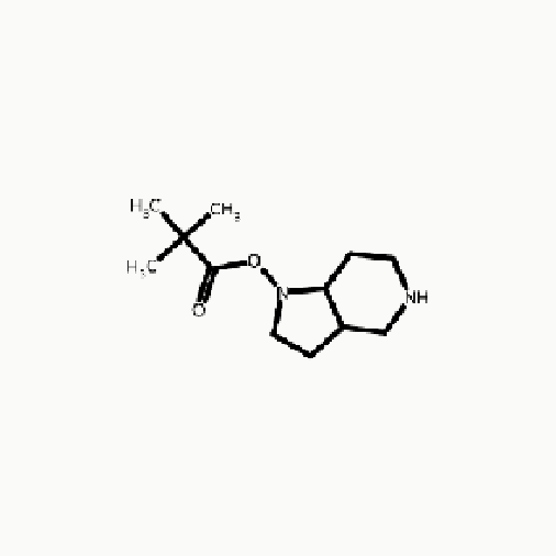 CC(C)(C)C(=O)ON1CCC2CNCCC21